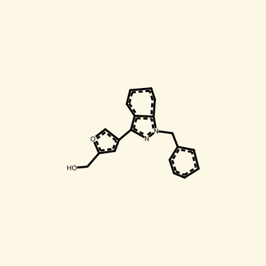 OCc1cc(-c2nn(Cc3ccccc3)c3ccccc23)co1